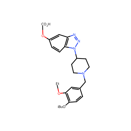 CCOc1cc(CN2CCC(n3nnc4cc(OC(=O)O)ccc43)CC2)ccc1OCC(C)C